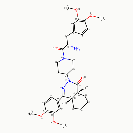 COc1ccc(C[C@H](N)C(=O)N2CCC(N3N=C(c4ccc(OC)c(OC)c4)[C@H]4CCCC[C@H]4C3=O)CC2)cc1OC